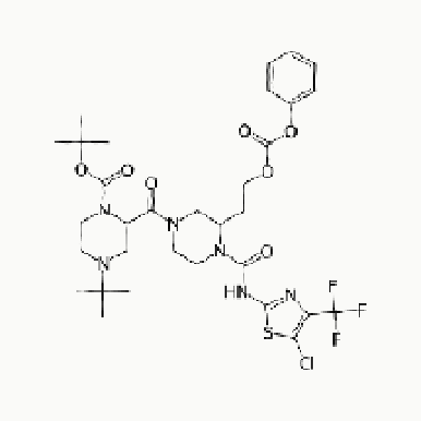 CC(C)(C)OC(=O)N1CCN(C(C)(C)C)CC1C(=O)N1CCN(C(=O)Nc2nc(C(F)(F)F)c(Cl)s2)C(CCOC(=O)Oc2ccccc2)C1